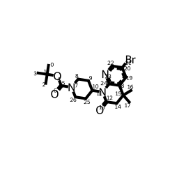 CC(C)(C)OC(=O)N1CCC(N2C(=O)CC(C)(C)c3cc(Br)cnc32)CC1